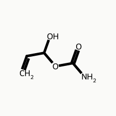 C=CC(O)OC(N)=O